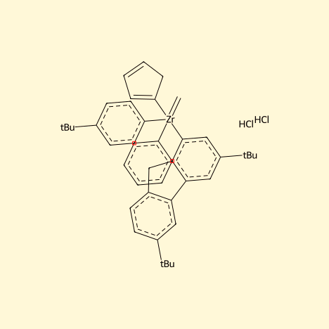 Cl.Cl.[CH2]=[Zr]([C]1=CC=CC1)([c]1ccccc1)([c]1ccc(C(C)(C)C)cc1)[c]1cc(C(C)(C)C)cc2c1Cc1ccc(C(C)(C)C)cc1-2